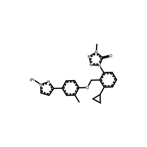 Cc1cc(-c2ccn(C(C)C)n2)ccc1OCc1c(C2CC2)cccc1-n1nnn(C)c1=O